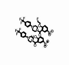 O=C(c1cc([N+](=O)[O-])ccc1O)N1CCN(c2ccc(C(F)(F)F)cc2)CC1.O=C(c1cc([N+](=O)[O-])ccc1OCCF)N1CCN(c2ccc(C(F)(F)F)cc2)CC1